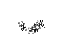 CCON1C(=O)CC[C@@]2(C)C1=CC[C@H]1[C@@H]3CC[C@H]([C@H](C)CCCC(=O)N(CC)CC)[C@@]3(C)CC[C@@H]12